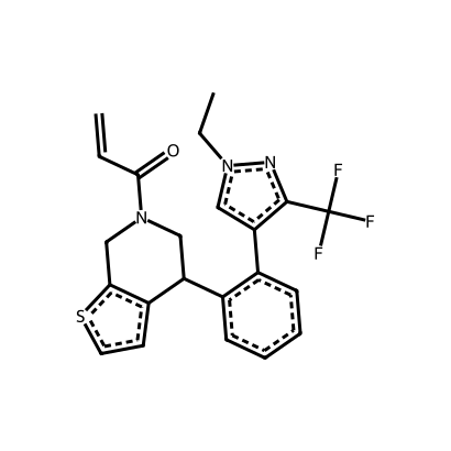 C=CC(=O)N1Cc2sccc2C(c2ccccc2-c2cn(CC)nc2C(F)(F)F)C1